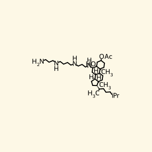 CC(=O)OC1CC[C@]2(C)[C@H]3CC[C@]4(C)[C@@H](C(C)CCCC(C)C)CC[C@H]4[C@@H]3CC(NCCCNCCCCNCCCN)[C@@]2(O)C1